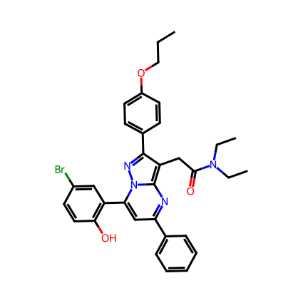 CCCOc1ccc(-c2nn3c(-c4cc(Br)ccc4O)cc(-c4ccccc4)nc3c2CC(=O)N(CC)CC)cc1